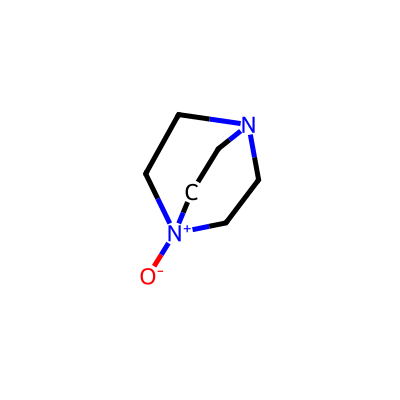 [O-][N+]12CCN(CC1)CC2